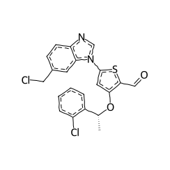 C[C@@H](Oc1cc(-n2cnc3ccc(CCl)cc32)sc1C=O)c1ccccc1Cl